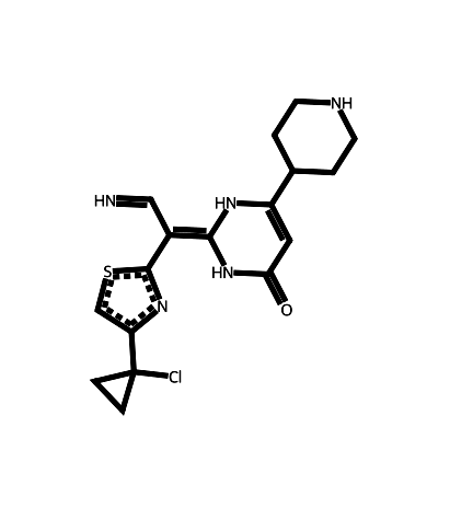 N=C/C(=C1/NC(=O)C=C(C2CCNCC2)N1)c1nc(C2(Cl)CC2)cs1